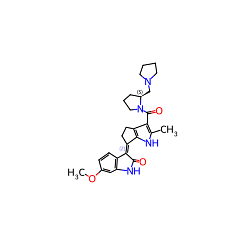 COc1ccc2c(c1)NC(=O)/C2=C1/CCc2c1[nH]c(C)c2C(=O)N1CCC[C@H]1CN1CCCC1